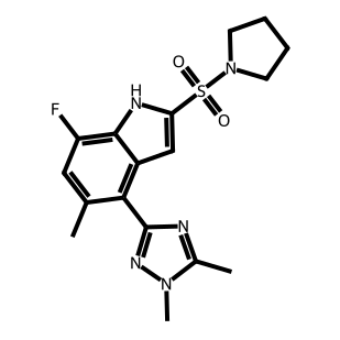 Cc1cc(F)c2[nH]c(S(=O)(=O)N3CCCC3)cc2c1-c1nc(C)n(C)n1